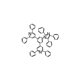 c1ccc(-c2cc(-c3cc(-c4cc(-c5ccccc5)nc(-c5ccccc5)c4)cc(-n4c(-c5ccccc5)nc(-c5ccccc5)c4-c4ccccc4)c3)cc(-c3ccccc3)n2)cc1